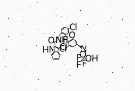 N#Cc1cc(Cl)cc(Oc2c(Cl)ccc(CNC(=O)c3[nH]c4ccccc4c3Cl)c2F)c1.O=C(O)C(F)(F)F